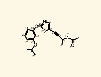 CC(=O)NC(C)C#Cc1cnc(Oc2cccc(OC(C)C)c2)s1